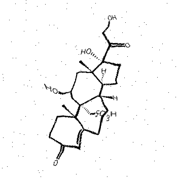 C[C@]12CCC(=O)C=C1CC[C@H]1[C@@H]3CC[C@](O)(C(=O)CO)[C@@]3(C)C[C@H](O)[C@@]12CS(=O)(=O)O